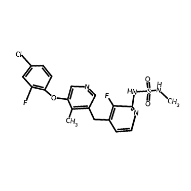 CNS(=O)(=O)Nc1nccc(Cc2cncc(Oc3ccc(Cl)cc3F)c2C)c1F